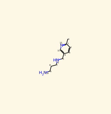 Cc1ccc(CNCCCN)cn1